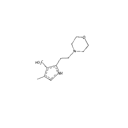 Cc1c[nH]c(CCN2CCOCC2)c1C(=O)O